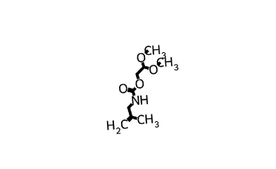 C=C(C)CNC(=O)OCC(OC)OC